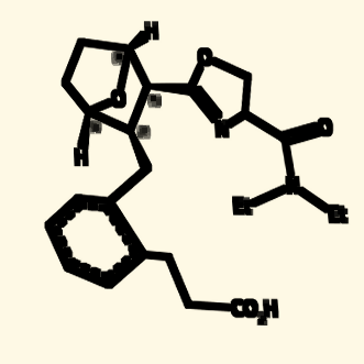 CCN(CC)C(=O)C1COC([C@H]2[C@@H](Cc3ccccc3CCC(=O)O)[C@@H]3CC[C@H]2O3)=N1